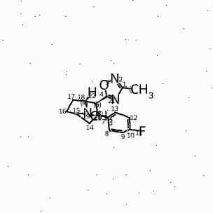 Cc1noc([C@H]2[C@@H](c3ccc(F)cc3)CC3CC[C@H]2N3C)n1